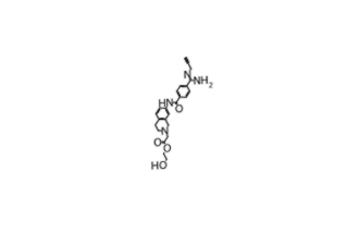 C#CCN=C(N)c1ccc(C(=O)Nc2ccc3c(c2)CN(CC(=O)OCCO)CC3)cc1